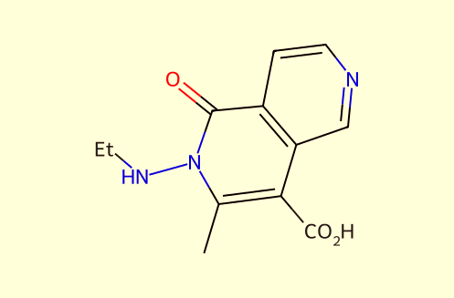 CCNn1c(C)c(C(=O)O)c2cnccc2c1=O